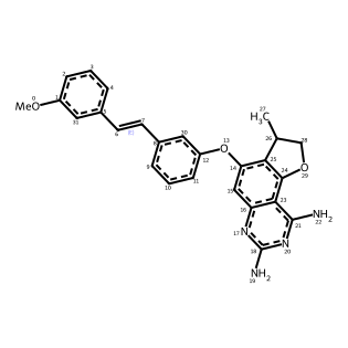 COc1cccc(/C=C/c2cccc(Oc3cc4nc(N)nc(N)c4c4c3C(C)CO4)c2)c1